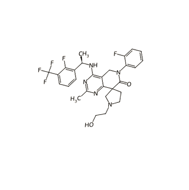 Cc1nc(N[C@H](C)c2cccc(C(F)(F)F)c2F)c2c(n1)C1(CCN(CCO)C1)C(=O)N(c1ccccc1F)C2